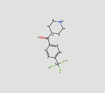 O=C(c1ccc(C(F)(F)F)cc1)C1CC[N]CC1